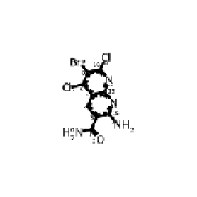 NC(=O)c1cc2c(Cl)c(Br)c(Cl)nc2nc1N